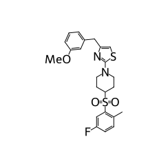 COc1cccc(Cc2csc(N3CCC(S(=O)(=O)c4cc(F)ccc4C)CC3)n2)c1